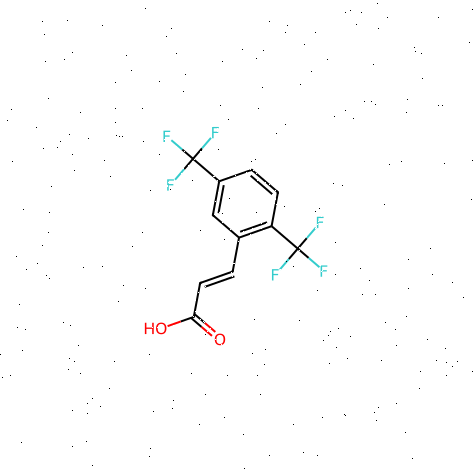 O=C(O)/C=C/c1cc(C(F)(F)F)ccc1C(F)(F)F